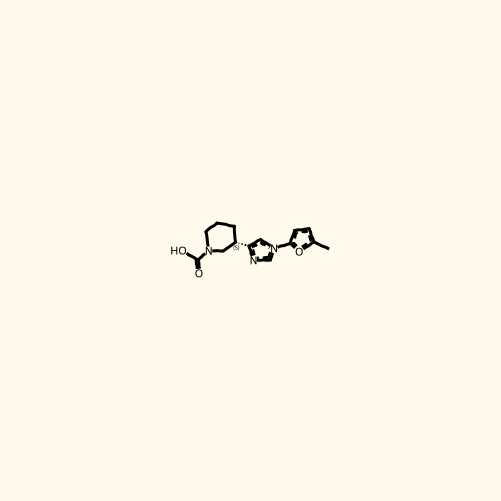 Cc1ccc(-n2cnc([C@H]3CCCN(C(=O)O)C3)c2)o1